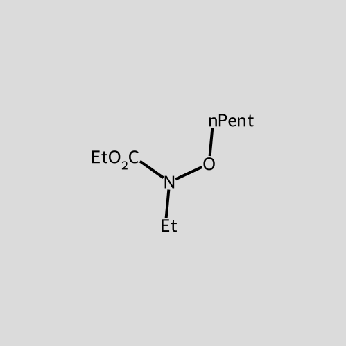 CCCCCON(CC)C(=O)OCC